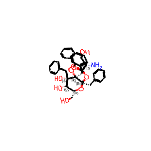 N[C@@H](CO)C(=O)O[C@@]1(Cc2ccccc2)O[C@H](CO)[C@H](O)[C@@](O)(Cc2ccccc2)[C@@]1(Cc1ccccc1)OCc1ccccc1